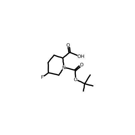 CC(C)(C)OC(=O)N1CC(F)CCC1C(=O)O